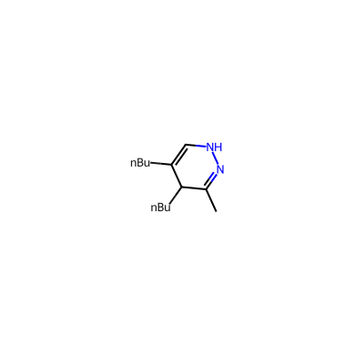 CCCCC1=CNN=C(C)C1CCCC